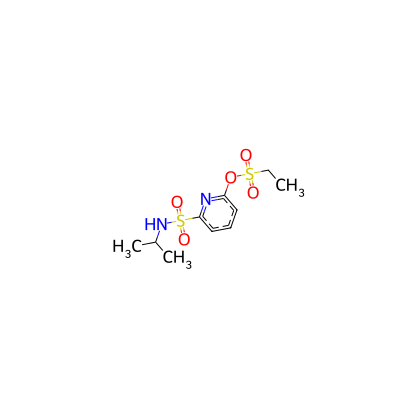 CCS(=O)(=O)Oc1cccc(S(=O)(=O)NC(C)C)n1